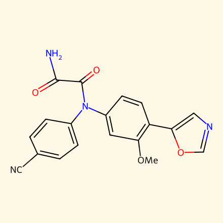 COc1cc(N(C(=O)C(N)=O)c2ccc(C#N)cc2)ccc1-c1cnco1